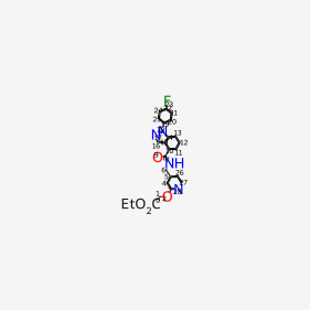 CCOC(=O)COc1cc(CNC(=O)c2cccc3c2cnn3-c2ccc(F)cc2)ccn1